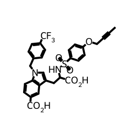 CC#CCOc1ccc(S(=O)(=O)NC(Cc2cn(Cc3ccc(C(F)(F)F)cc3)c3ccc(C(=O)O)cc23)C(=O)O)cc1